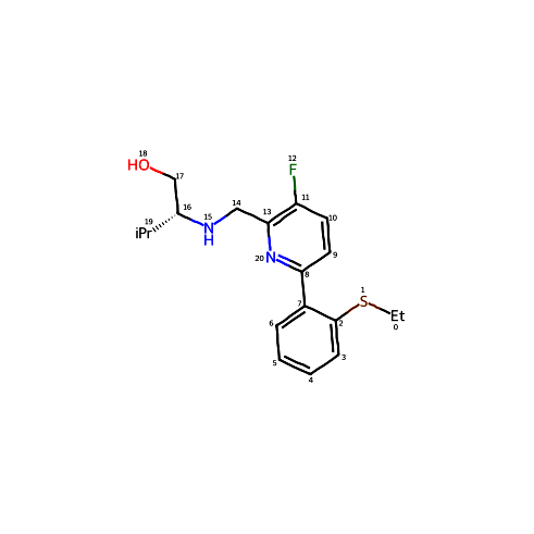 CCSc1ccccc1-c1ccc(F)c(CN[C@@H](CO)C(C)C)n1